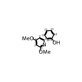 COc1ccnc(OC)c1.Oc1ccccc1